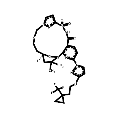 CC1(C)C[C@H]2CCCCn3ccc(n3)S(=O)(=O)NC(=O)c3ccc(-n4ccc(OCCC5(C(F)(F)F)CC5)n4)nc3N1C2